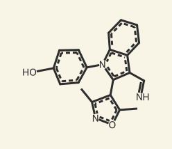 Cc1noc(C)c1-c1c(C=N)c2ccccc2n1-c1ccc(O)cc1